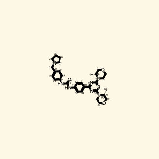 C[C@@H]1COCCN1c1nc(-c2ccc(NC(=O)Nc3ccc(CN4CCCC4)cc3)cc2)nc(N2CCOC[C@H]2C)n1